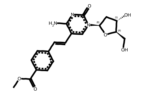 COC(=O)c1ccc(C=Cc2cn([C@H]3C[C@H](O)[C@@H](CO)O3)c(=O)nc2N)cc1